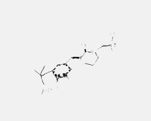 CC(C)(C)c1cc(/C=C2\SCCN(CP(=O)(O)O)C2=O)ccc1O